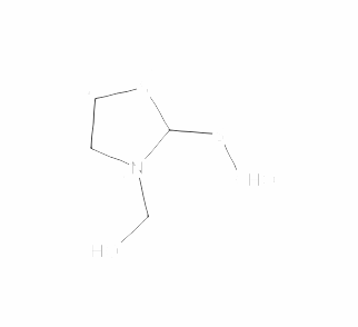 O=CSC1SCCN1CO